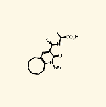 CCCCn1c2c(cc(C(=O)NC(C)C(=O)O)c1=O)CCCCCC2